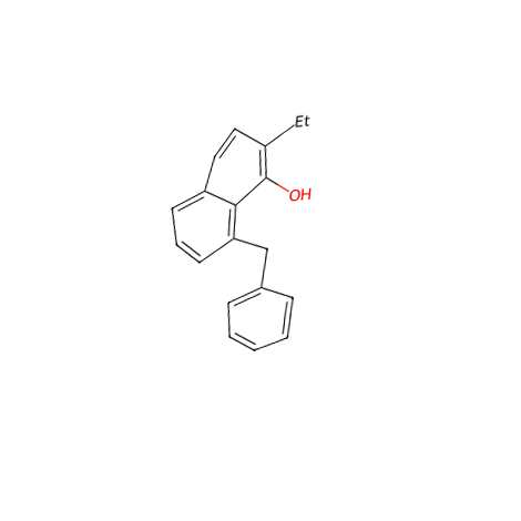 CCc1ccc2cccc(Cc3ccccc3)c2c1O